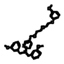 COc1cccc(CN(Cc2cccc(OC)c2)c2ccc(COCCOCCOc3cccc(OC)c3)cn2)c1